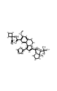 COc1cc2c(cc1C(=O)NC1(C#N)CCC1)-c1c(-c3nncs3)cc(C(=O)N3CCC[C@@]3(C)[C@@H](O)C(F)(F)F)n1CC2